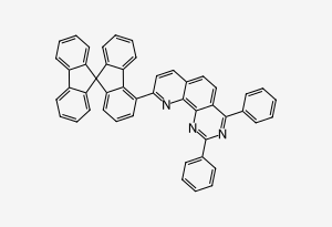 c1ccc(-c2nc(-c3ccccc3)c3ccc4ccc(-c5cccc6c5-c5ccccc5C65c6ccccc6-c6ccccc65)nc4c3n2)cc1